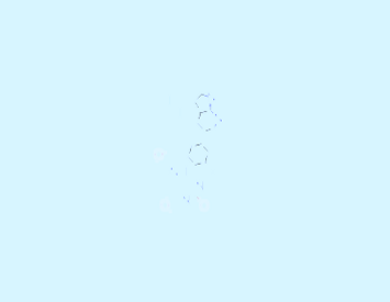 O=C(N1CCOCC1)N1CCc2cc(-c3cnc4[nH]cc(C(F)(F)F)c4c3)cc([C@@H]3COCCN3)c2C1